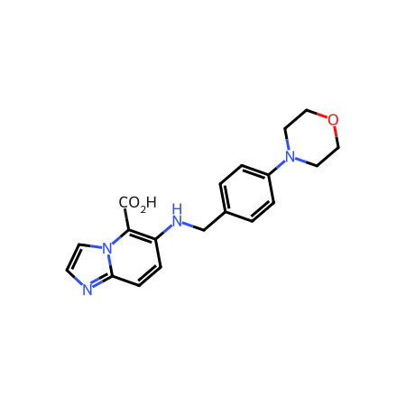 O=C(O)c1c(NCc2ccc(N3CCOCC3)cc2)ccc2nccn12